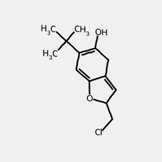 CC(C)(C)C1=C(O)CC2=CC(CCl)OC2=C1